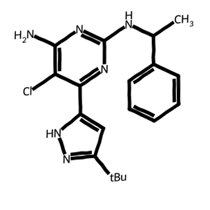 CC(Nc1nc(N)c(Cl)c(-c2cc(C(C)(C)C)n[nH]2)n1)c1ccccc1